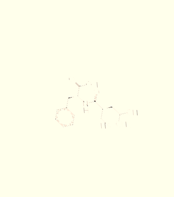 CC(C)C[C@@H](CS)C(=O)N[C@@H](Cc1ccccc1)C(=O)O